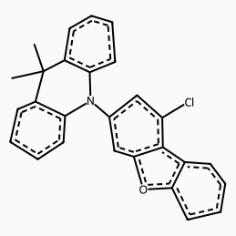 CC1(C)c2ccccc2N(c2cc(Cl)c3c(c2)oc2ccccc23)c2ccccc21